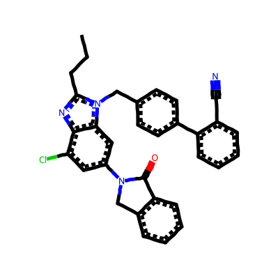 CCCc1nc2c(Cl)cc(N3Cc4ccccc4C3=O)cc2n1Cc1ccc(-c2ccccc2C#N)cc1